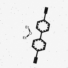 C#Cc1ccc(-c2ccc(C#C)cc2)cc1.CCOCC